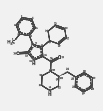 Cc1ccccc1-n1c(C2C=CC=CC2)c(C(=O)N2CCNC[C@H]2Cc2ccccc2)[nH]c1=O